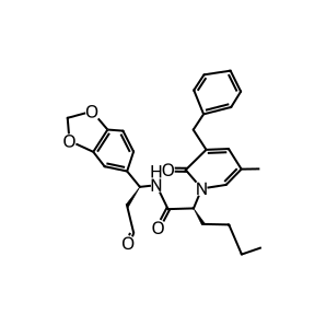 CCCC[C@@H](C(=O)N[C@@H](CC=O)c1ccc2c(c1)OCO2)n1cc(C)cc(Cc2ccccc2)c1=O